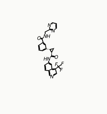 O=C(NCc1ncccn1)c1cccc([C@@H]2C[C@H]2C(=O)Nc2ccc3cncc(C(F)(F)F)c3c2)c1